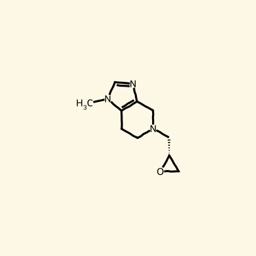 Cn1cnc2c1CCN(C[C@@H]1CO1)C2